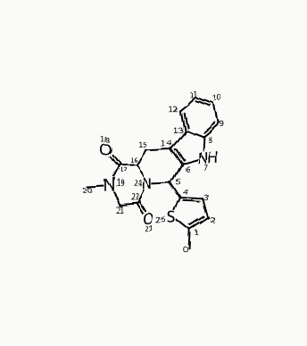 Cc1ccc(C2c3[nH]c4ccccc4c3CC3C(=O)N(C)CC(=O)N32)s1